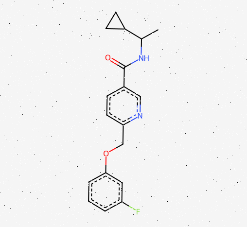 CC(NC(=O)c1ccc(COc2cccc(F)c2)nc1)C1CC1